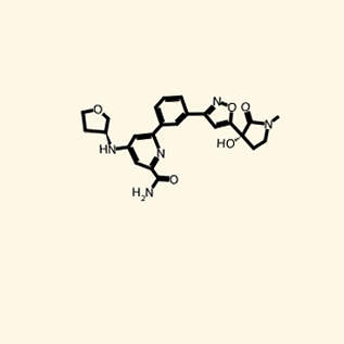 CN1CC[C@@](O)(c2cc(-c3cccc(-c4cc(N[C@H]5CCOC5)cc(C(N)=O)n4)c3)no2)C1=O